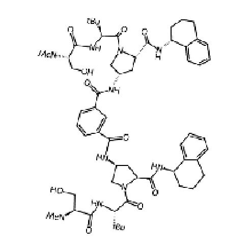 CN[C@@H](CO)C(=O)N[C@H](C(=O)N1C[C@@H](NC(=O)c2cccc(C(=O)N[C@H]3C[C@@H](C(=O)N[C@@H]4CCCc5ccccc54)N(C(=O)[C@@H](NC(=O)[C@H](CO)NC)C(C)(C)C)C3)c2)C[C@H]1C(=O)N[C@@H]1CCCc2ccccc21)C(C)(C)C